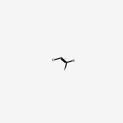 F/C([S])=C\Cl